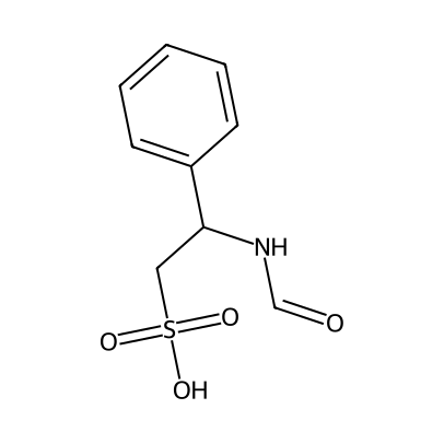 O=CNC(CS(=O)(=O)O)c1ccccc1